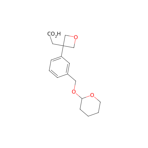 O=C(O)CC1(c2cccc(COC3CCCCO3)c2)COC1